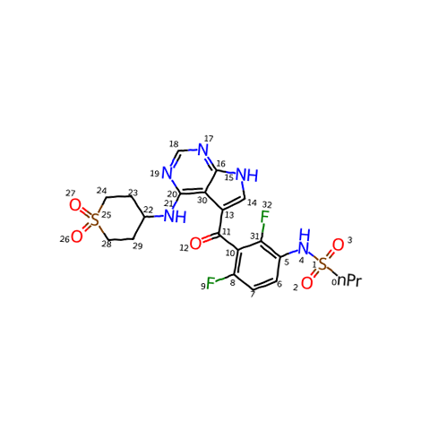 CCCS(=O)(=O)Nc1ccc(F)c(C(=O)c2c[nH]c3ncnc(NC4CCS(=O)(=O)CC4)c23)c1F